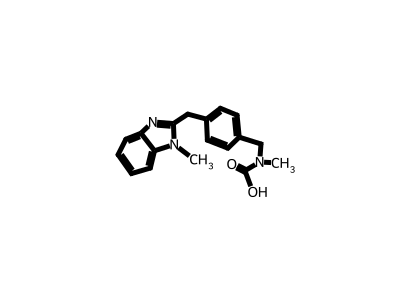 CN(Cc1ccc(Cc2nc3ccccc3n2C)cc1)C(=O)O